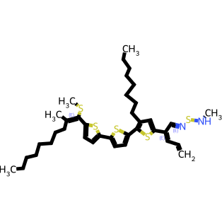 C=C/C=C(\C=N\SNC)c1cc(CCCCCCCC)c(-c2ccc(-c3ccc(/C(SC)=C(/C)CCCCCCCC)s3)s2)s1